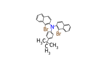 CC(C)(C)c1ccc(N(c2ccc3ccccc3c2Br)c2ccc3ccccc3c2Br)cc1